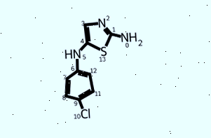 Nc1ncc(Nc2ccc(Cl)cc2)s1